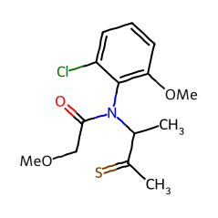 COCC(=O)N(c1c(Cl)cccc1OC)C(C)C(C)=S